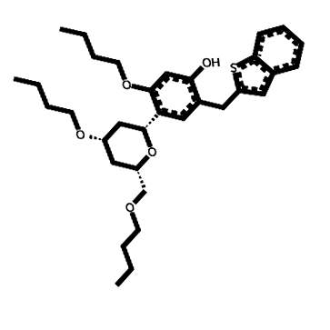 CCCCOC[C@@H]1C[C@H](OCCCC)C[C@H](c2cc(Cc3cc4ccccc4s3)c(O)cc2OCCCC)O1